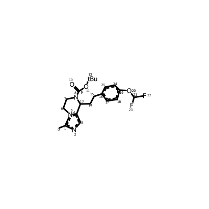 Cc1ncc2n1CCN(C(=O)OC(C)(C)C)C2CCc1ccc(OC(F)F)cc1